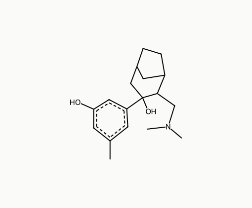 Cc1cc(O)cc(C2(O)CC3CCC(C3)C2CN(C)C)c1